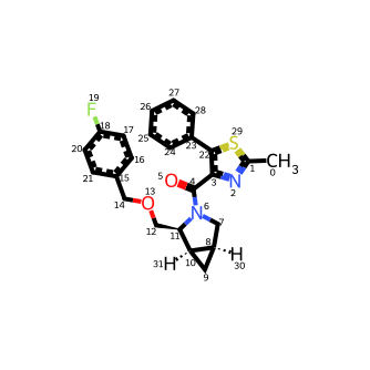 Cc1nc(C(=O)N2C[C@H]3C[C@H]3[C@H]2COCc2ccc(F)cc2)c(-c2ccccc2)s1